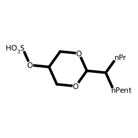 CCCCCC(CCC)C1OCC(OS(=O)(=O)O)CO1